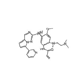 C=CC(=O)Nc1cc(Nc2ncc3ccc(-c4cccnc4)n3n2)c(OC)cc1N(C)CCN(C)C